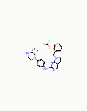 C[C@@H]1CN(c2ccc(Nc3ncc4ccn(Cc5ccccc5OC(F)F)c4n3)cc2)CCN1